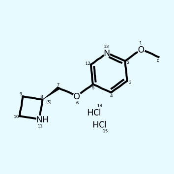 COc1ccc(OC[C@@H]2CCN2)cn1.Cl.Cl